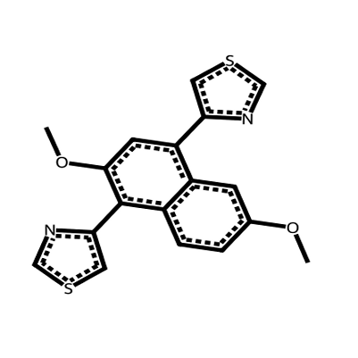 COc1ccc2c(-c3cscn3)c(OC)cc(-c3cscn3)c2c1